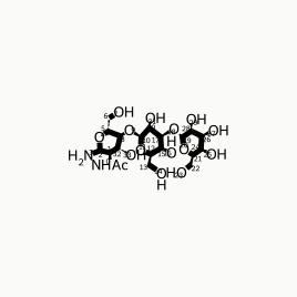 CC(=O)N[C@H]1C(N)O[C@H](CO)[C@@H](O[C@@H]2O[C@H](CO)[C@H](O)[C@H](O[C@H]3O[C@H](CO)[C@H](O)[C@H](O)[C@H]3O)[C@H]2O)[C@@H]1O